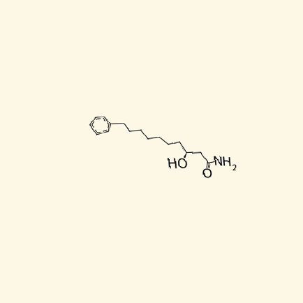 NC(=O)C[C@@H](O)CCCCCCCc1ccccc1